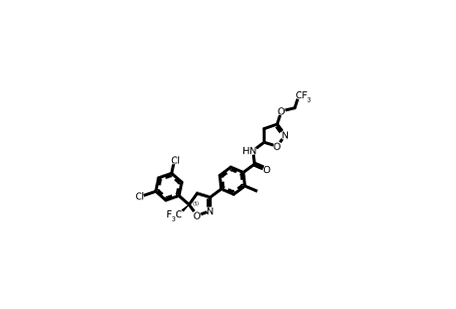 Cc1cc(C2=NO[C@@](c3cc(Cl)cc(Cl)c3)(C(F)(F)F)C2)ccc1C(=O)NC1CC(OCC(F)(F)F)=NO1